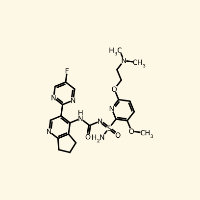 COc1ccc(OCCN(C)C)nc1S(N)(=O)=NC(=O)Nc1c(-c2ncc(F)cn2)cnc2c1CCC2